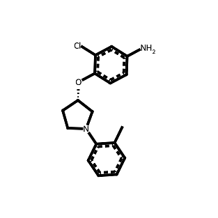 Cc1ccccc1N1CC[C@H](Oc2ccc(N)cc2Cl)C1